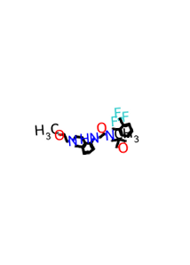 COCCN1CCc2c(cccc2NCC(=O)N(Cc2ccccc2C(F)(F)F)CC2(C)COC2)C1